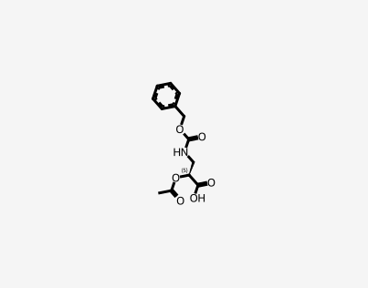 CC(=O)O[C@@H](CNC(=O)OCc1ccccc1)C(=O)O